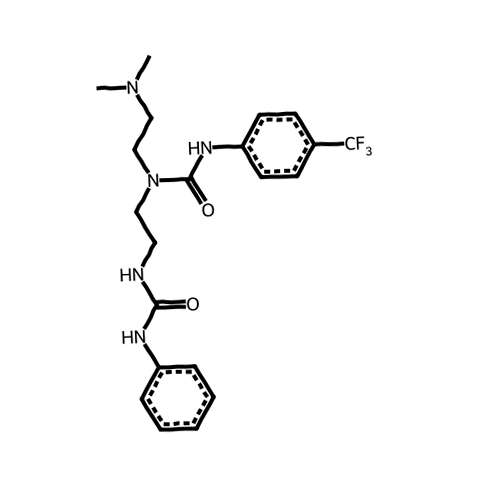 CN(C)CCN(CCNC(=O)Nc1ccccc1)C(=O)Nc1ccc(C(F)(F)F)cc1